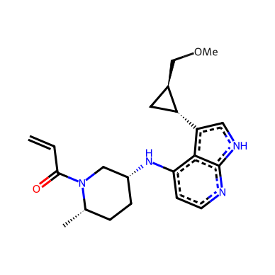 C=CC(=O)N1C[C@H](Nc2ccnc3[nH]cc([C@@H]4C[C@H]4COC)c23)CC[C@@H]1C